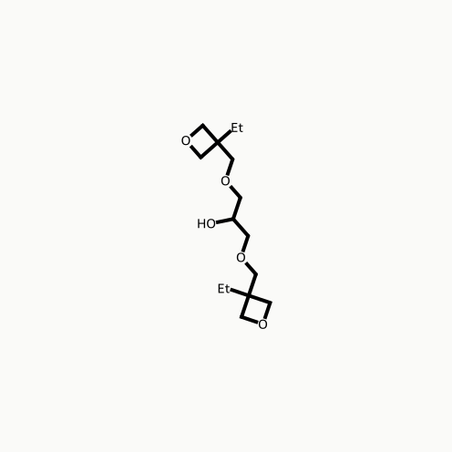 CCC1(COCC(O)COCC2(CC)COC2)COC1